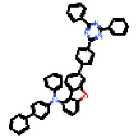 c1ccc(-c2ccc(N(c3ccccc3)c3cccc4oc5cc(-c6ccc(-c7nc(-c8ccccc8)nc(-c8ccccc8)n7)cc6)ccc5c34)cc2)cc1